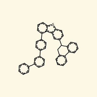 c1ccc(-c2cccc(-c3ccc(-c4cccc5sc6ccc(C7Cc8ccccc8-c8ccccc87)cc6c45)cc3)c2)cc1